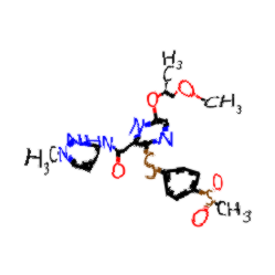 COC[C@H](C)Oc1cnc(Sc2ccc(S(C)(=O)=O)cc2)c(C(=O)Nc2ccn(C)n2)n1